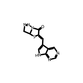 O=C1C(=Cc2c[nH]c3ncncc23)SC2CN=NN12